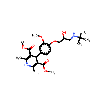 COC(=O)C1=C(C)NC(C)=C(C(=O)OC)C1c1ccc(OCC(O)CNC(C)(C)C)c(OC)c1